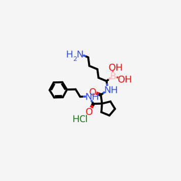 Cl.NCCCCC(NC(=O)C1(C(=O)NCCc2ccccc2)CCCC1)B(O)O